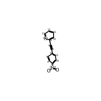 O=[N+]([O-])c1ccc(C#Cc2ccccn2)cc1